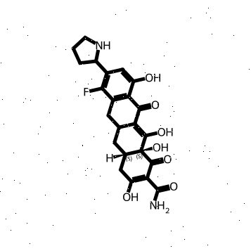 NC(=O)C1=C(O)C[C@@H]2CC3Cc4c(F)c(C5CCCN5)cc(O)c4C(=O)C3=C(O)[C@]2(O)C1=O